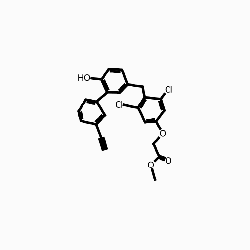 C#Cc1cccc(-c2cc(Cc3c(Cl)cc(OCC(=O)OC)cc3Cl)ccc2O)c1